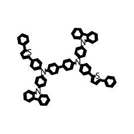 c1ccc(-c2ccc(-c3ccc(N(c4ccc(-c5ccc(N(c6ccc(-c7ccc(-c8ccccc8)s7)cc6)c6ccc(-n7c8ccccc8c8ccccc87)cc6)cc5)cc4)c4ccc(-n5c6ccccc6c6ccccc65)cc4)cc3)s2)cc1